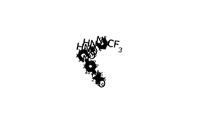 O=C(Nc1ccc(C(F)(F)F)cn1)N[C@@H]1CCCN(c2ccc(N3CC4(COC4)C3)cc2)C1=O